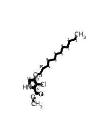 CCCCCCCCCCCCOc1c[nH]c(C(=O)OC)c1Cl